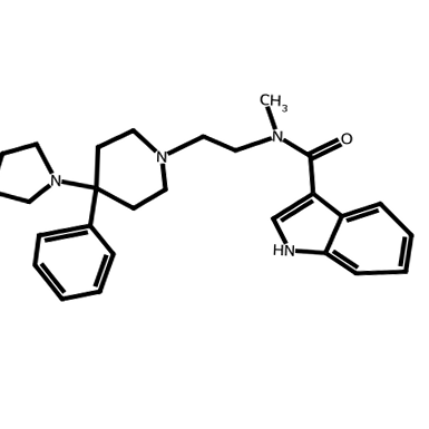 CN(CCN1CCC(c2ccccc2)(N2CCCC2)CC1)C(=O)c1c[nH]c2ccccc12